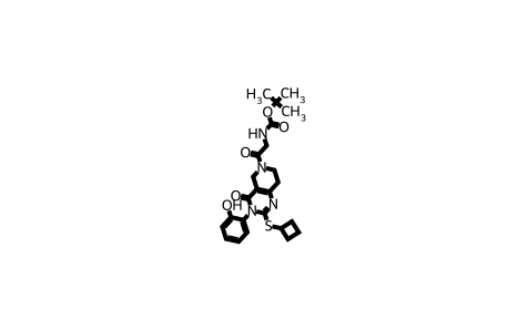 CC(C)(C)OC(=O)NCC(=O)N1CCc2nc(SC3CCC3)n(-c3ccccc3O)c(=O)c2C1